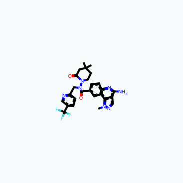 Cn1ncc2c(N)nc3ccc(C(=O)N(Cc4ccc(C(F)(F)F)cn4)N4CCC(C)(C)CC4=O)cc3c21